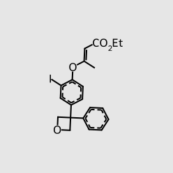 CCOC(=O)/C=C(\C)Oc1ccc(C2(c3ccccc3)COC2)cc1I